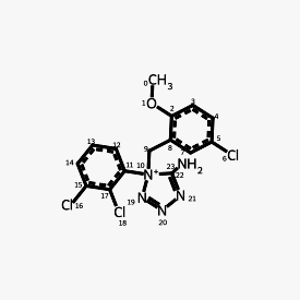 COc1ccc(Cl)cc1C[N+]1(c2cccc(Cl)c2Cl)N=NN=C1N